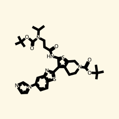 CC(C)N(CCC(=O)Nc1sc2c(c1-c1nc3cc(-n4ccnc4)ccc3s1)CCN(C(=O)OC(C)(C)C)C2)C(=O)OC(C)(C)C